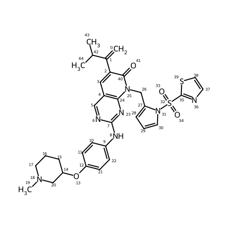 C=C(c1cc2cnc(Nc3ccc(OC4CCCN(C)C4)cc3)nc2n(Cc2cccn2S(=O)(=O)c2nccs2)c1=O)C(C)C